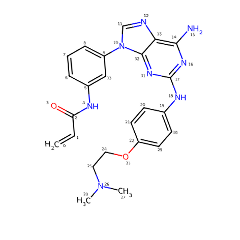 C=CC(=O)Nc1cccc(-n2cnc3c(N)nc(Nc4ccc(OCCN(C)C)cc4)nc32)c1